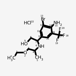 CCOCC(C)NC(CO)c1cc(Br)c(N)c(C(F)(F)F)c1.Cl